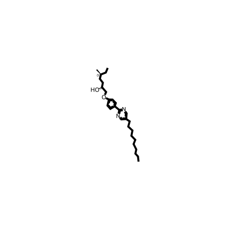 CCCCCCCCCCc1cnc(-c2ccc(OC[C@H](O)CC[C@@H](C)CC)cc2)nc1